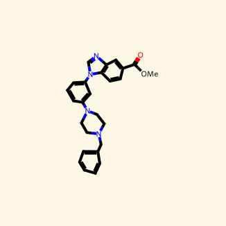 COC(=O)c1ccc2c(c1)ncn2-c1cccc(N2CCN(Cc3ccccc3)CC2)c1